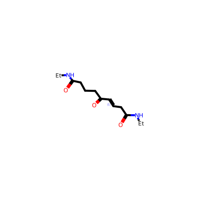 CCNC(=O)C/C=C/C(=O)CCCC(=O)NCC